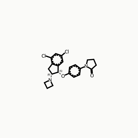 O=C1CCCN1c1ccc(O[C@H]2c3cc(Cl)cc(Cl)c3C[C@H]2N2CCC2)cc1